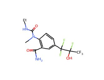 CCNC(=O)N(C)c1ccc(C(F)(F)C(O)(F)C(F)(F)F)cc1C(N)=O